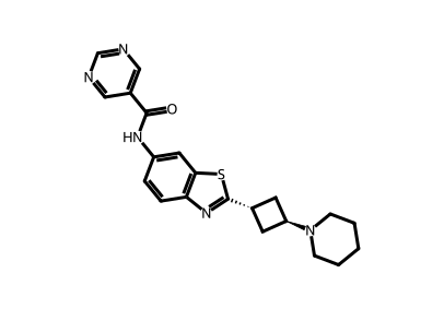 O=C(Nc1ccc2nc([C@H]3C[C@H](N4CCCCC4)C3)sc2c1)c1cncnc1